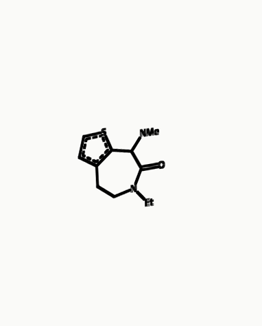 CCN1CCc2ccsc2C(NC)C1=O